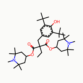 CCC(Cc1cc(C(C)(C)C)c(O)c(C(C)(C)C)c1)(C(=O)OC1CC(C)(C)N(C)C(C)(C)C1)C(=O)OC1CC(C)(C)N(C)C(C)(C)C1